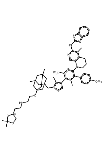 COc1ccc(-c2c(N3CCCc4c3nnc(Nc3nc5ccccc5s3)c4C)nc(C(=O)O)c(-c3cnn(CC45CC6(C)CC(C)(C4)CC(OCCNCC[C@H]4COC(C)(C)O4)(C6)C5)c3C)c2C)cc1